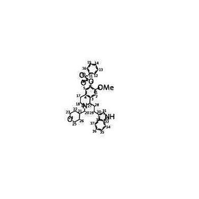 COc1cc2c(cc1OS(=O)(=O)c1ccccc1)CCN(CC1CCOCC1)C2CCc1c[nH]c2ccccc12